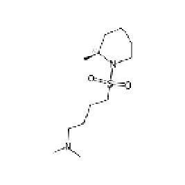 C[C@H]1CCCCN1S(=O)(=O)CCCCN(C)C